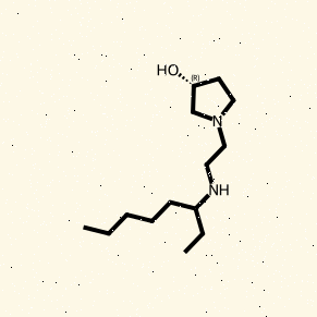 CCCCCC(CC)NCCN1CC[C@@H](O)C1